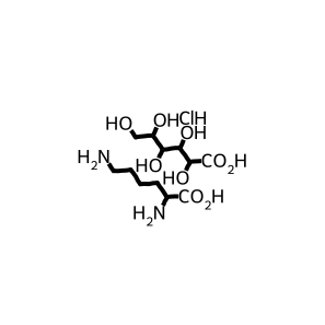 Cl.NCCCCC(N)C(=O)O.O=C(O)C(O)C(O)C(O)C(O)CO